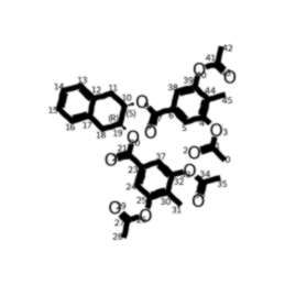 CC(=O)Oc1cc(C(=O)O[C@H]2Cc3ccccc3C[C@H]2OC(=O)c2cc(OC(C)=O)c(C)c(OC(C)=O)c2)cc(OC(C)=O)c1C